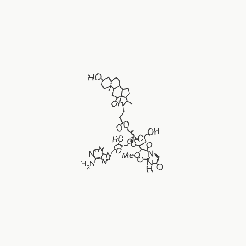 COC1[C@@H](OP(=O)(OC[C@H]2O[C@@H](n3cnc4c(N)ncnc43)C[C@H]2O)SCOC(=O)CCCC(C)C2CCC3C4CCC5CC(O)CCC5(C)C4CC(O)C23C)[C@@H](CO)O[C@H]1n1ccc(=O)[nH]c1=O